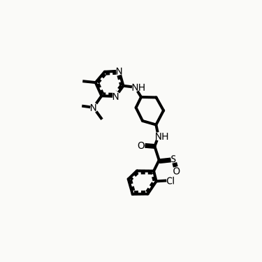 Cc1cnc(NC2CCC(NC(=O)C(=S=O)c3ccccc3Cl)CC2)nc1N(C)C